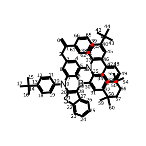 C=C(Cc1cc2c3c(c1)N(c1ccc(C(C)(C)C)cc1)c1sc4ccccc4c1B3c1cc3c(cc1N2c1ccc(C(C)(C)C)cc1-c1ccccc1)C(C)(C)CCC3(C)C)c1ccccc1